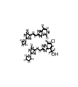 Cc1c(Cl)cc(C(C)(C)O)c2nc(CCc3nc(N4CCCC4)nn3C)nn12.Cc1cnc(C)n2nc(C=Cc3nc(N4CCC4)nn3C)nc12